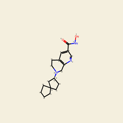 O=C(NO)c1cnc2c(c1)CCN([C@H]1CCC3(CCCC3)C1)C2